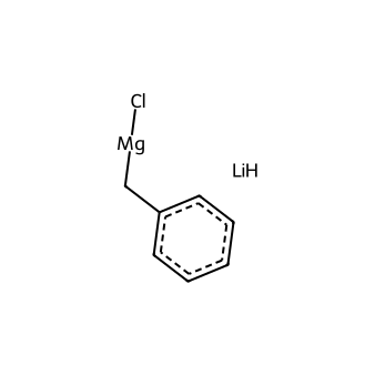 [Cl][Mg][CH2]c1ccccc1.[LiH]